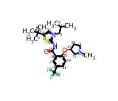 CC(C)Cn1cc(C(C)(C)C)sc1=NC(=O)c1cc(C(F)(F)F)ccc1O[C@H]1CCN(C)C1